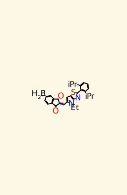 Bc1ccc2c(c1)C(=O)/C(=C\c1cc3sc(-c4c(C(C)C)cccc4C(C)C)nc3n1CC)C2=O